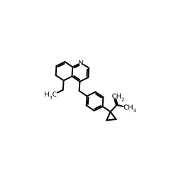 C=C(C)C1(c2ccc(Cc3ccnc4c3C(CC)CC=C4)cc2)CC1